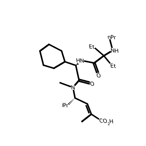 CCCNC(CC)(CC)C(=O)N[C@H](C(=O)N(C)[C@H](/C=C(\C)C(=O)O)C(C)C)C1CCCCC1